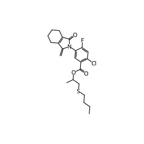 C=C1C2=C(CCCC2)C(=O)N1c1cc(C(=O)OC(C)CSCCCC)c(Cl)cc1F